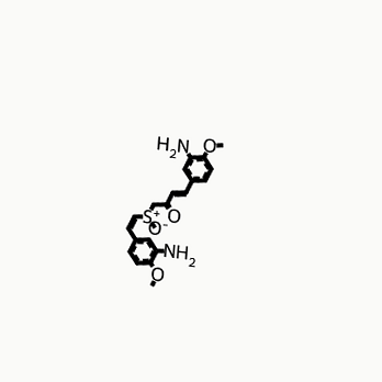 COc1ccc(/C=C\[S+]([O-])CC(=O)/C=C/c2ccc(OC)c(N)c2)cc1N